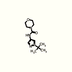 CC(C)(C)n1cc(NC(=O)N2CCOCC2)cn1